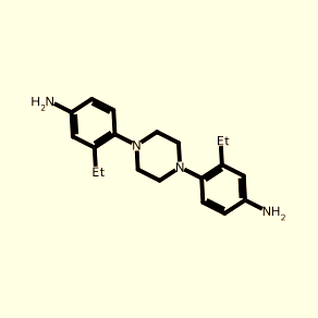 CCc1cc(N)ccc1N1CCN(c2ccc(N)cc2CC)CC1